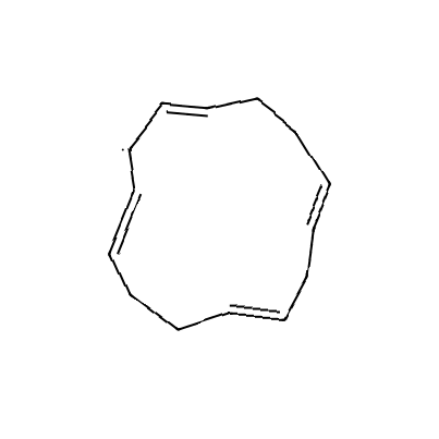 [CH]1/C=C/CC/C=C/C/C=C/CC/C=C/1